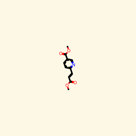 COC(=O)/C=C/c1ccc(C(=O)OC)cn1